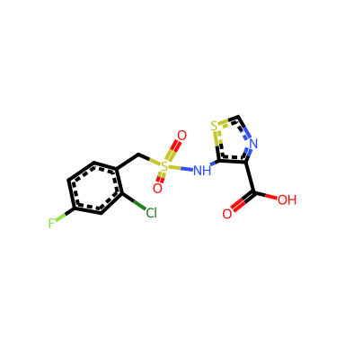 O=C(O)c1ncsc1NS(=O)(=O)Cc1ccc(F)cc1Cl